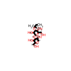 CCC(C)(C)OC1C(O)C(CO)OC(OC2C(O)C(CO)OC[C@H]2O)C1O